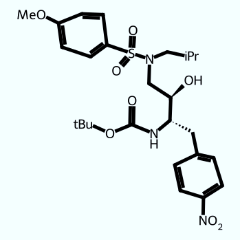 COc1ccc(S(=O)(=O)N(CC(C)C)C[C@@H](O)[C@H](Cc2ccc([N+](=O)[O-])cc2)NC(=O)OC(C)(C)C)cc1